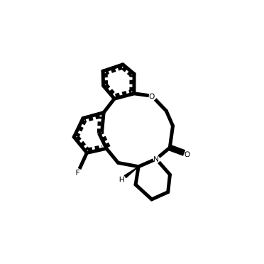 O=C1CCOc2ccccc2-c2ccc(F)c(c2)C[C@H]2CCCCN12